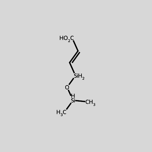 C[SiH](C)O[SiH2]C=CC(=O)O